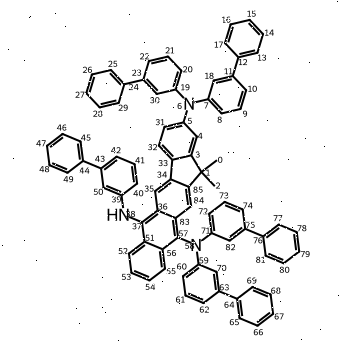 CC1(C)c2cc(N(c3cccc(-c4ccccc4)c3)c3cccc(-c4ccccc4)c3)ccc2-c2cc3c(Nc4cccc(-c5ccccc5)c4)c4ccccc4c(N(c4cccc(-c5ccccc5)c4)c4cccc(-c5ccccc5)c4)c3cc21